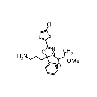 CO[C@@H](C)C(=O)N1N=C(c2ccc(Cl)s2)OC1(CCCN)c1ccccc1